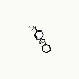 NC1=CCC(N)(CC2CCCCC2)C=C1